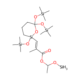 CC(=C[Si]1(O[Si](C)(C)C)CCCC(O[Si](C)(C)C)(O[Si](C)(C)C)O1)C(=O)OC(C)O[SiH3]